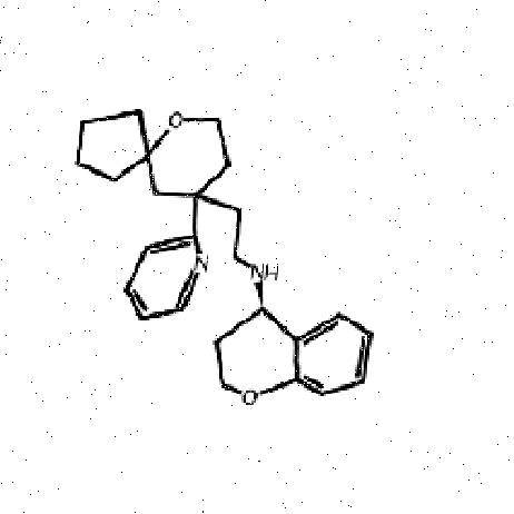 c1ccc(C2(CCN[C@@H]3CCOc4ccccc43)CCOC3(CCCC3)C2)nc1